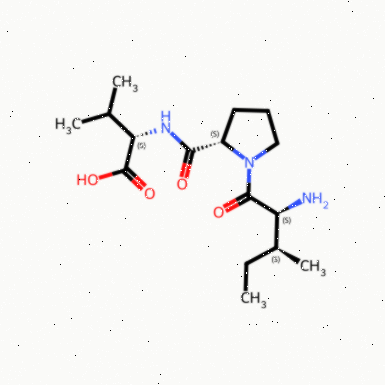 CC[C@H](C)[C@H](N)C(=O)N1CCC[C@H]1C(=O)N[C@H](C(=O)O)C(C)C